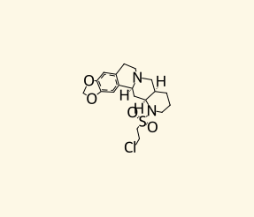 O=S(=O)(CCCl)N1CCC[C@@H]2CN3CCc4cc5c(cc4[C@@H]3C[C@@H]21)OCO5